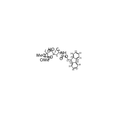 COC1(C)OCC(CC(NC(=O)OCC2c3ccccc3-c3ccccc32)C(=O)O)OC1(C)OC